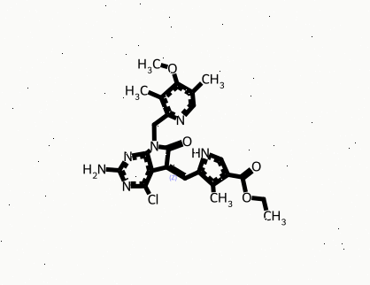 CCOC(=O)c1c[nH]c(/C=C2\C(=O)N(Cc3ncc(C)c(OC)c3C)c3nc(N)nc(Cl)c32)c1C